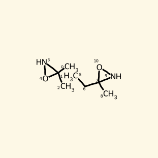 CC1(C)NO1.CCC1(C)NO1